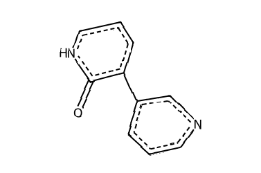 O=c1[nH]cccc1-c1cccnc1